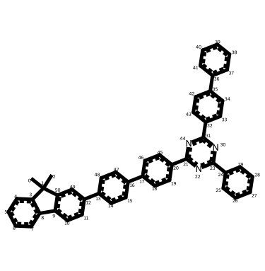 CC1(C)c2ccccc2-c2ccc(-c3ccc(-c4ccc(-c5nc(-c6ccccc6)nc(-c6ccc(-c7ccccc7)cc6)n5)cc4)cc3)cc21